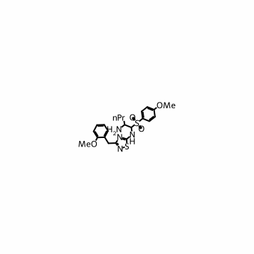 CCCC(N)C(Nc1nc(Cc2ccccc2OC)ns1)S(=O)(=O)c1ccc(OC)cc1